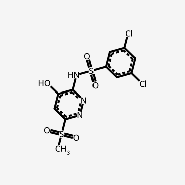 CS(=O)(=O)c1cc(O)c(NS(=O)(=O)c2cc(Cl)cc(Cl)c2)nn1